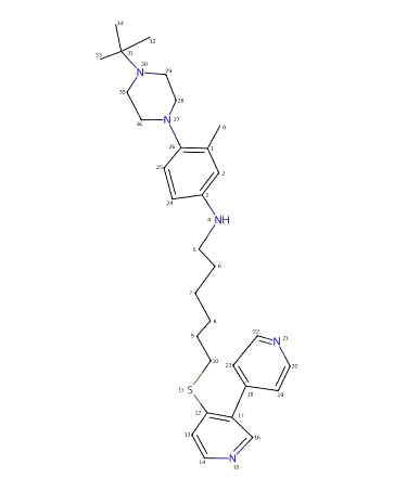 Cc1cc(NCCCCCCSc2ccncc2-c2ccncc2)ccc1N1CCN(C(C)(C)C)CC1